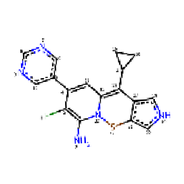 NC1=C(F)C(c2cncnc2)=CC2=C(C3CC3)c3c[nH]cc3SN12